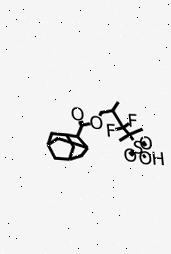 CC(COC(=O)C1C2CC3CC(C2)CC1C3)C(F)(F)C(C)(C)S(=O)(=O)O